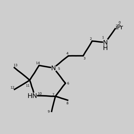 CC(C)NCCCN1CC(C)(C)NC(C)(C)C1